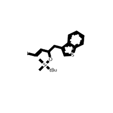 CC(C)(C)[Si](C)(C)OC(C=CI)Cc1csc2ccccc12